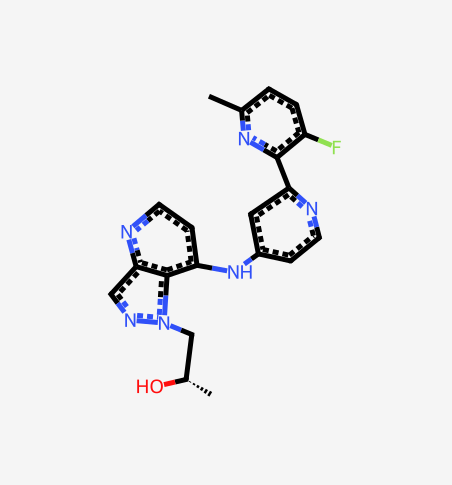 Cc1ccc(F)c(-c2cc(Nc3ccnc4cnn(C[C@H](C)O)c34)ccn2)n1